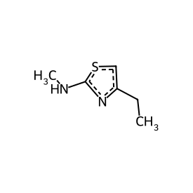 CCc1csc(NC)n1